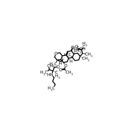 CCCCN[C@](C)(CO[C@H]1[C@H](OC(C)=O)C[C@@]23COC[C@]1(C)[C@@H]2CC[C@H]1C3=CC(=O)[C@@]2(C)[C@H](C(=O)O)[C@@](C)([C@H](C)C(C)C)CC[C@]12C)C(C)C